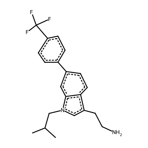 CC(C)Cn1cc(CCN)c2ccc(-c3ccc(C(F)(F)F)cc3)cc21